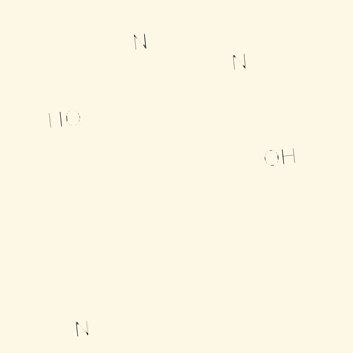 N#CCCc1c(O)ncnc1O